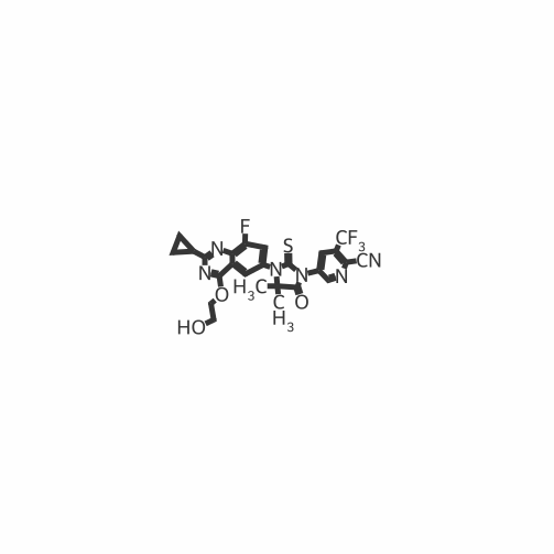 CC1(C)C(=O)N(c2cnc(C#N)c(C(F)(F)F)c2)C(=S)N1c1cc(F)c2nc(C3CC3)nc(OCCO)c2c1